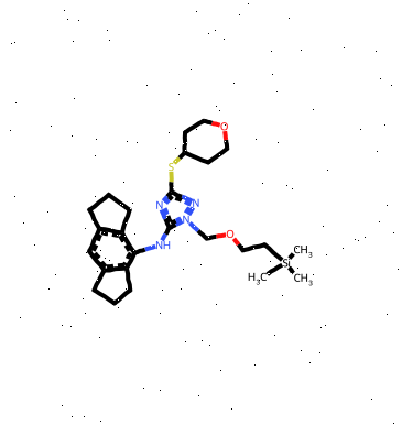 C[Si](C)(C)CCOCn1nc(SC2CCOCC2)nc1Nc1c2c(cc3c1CCC3)CCC2